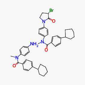 CN(C(=O)c1ccc(C2CCCCC2)cc1)c1ccc(N)cc1.CN(C(=O)c1ccc(C2CCCCC2)cc1)c1ccc(N2CCC(Br)C2=O)cc1